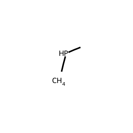 C.CPC